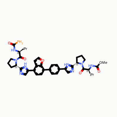 COC(=O)N[C@H](C(=O)N1CCC[C@H]1c1ncc(-c2ccc(-c3ccc(-c4cnc([C@@H]5CCCN5C(=O)[C@@H](NC(=O)P)C(C)C)[nH]4)c4ccoc34)cc2)[nH]1)C(C)C